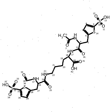 CC(=O)NC(Cc1ccc(S(=O)(=O)O)s1)C(=O)NC(CCCCNC(=O)C(Cc1ccc(S(=O)(=O)O)s1)NC=O)C(=O)O